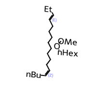 CC/C=C/CCCCCCCC/C=C\CCCC.CCCCCCOOC